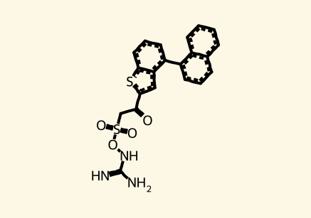 N=C(N)NOS(=O)(=O)CC(=O)c1cc2c(-c3cccc4ccccc34)cccc2s1